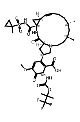 COC1=CC([C@H]2C[C@H]3C(=O)N[C@]4(C(=O)NS(=O)(=O)C5(C)CC5)C[C@H]4/C=C\CC[C@H](C)C[C@@H](C)CCN3C2)=C(C(=O)O)[C@H](NC(=O)OC(C)(C)C(F)(F)F)C1=O